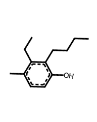 CCCCc1c(O)ccc(C)c1CC